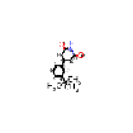 CC(C)(C)c1cccc(C2CC(=O)NC(=O)C2)c1